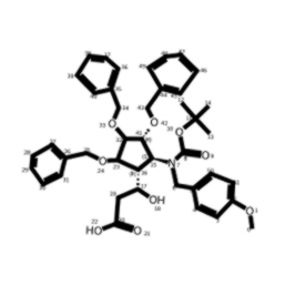 COc1ccc(CN(C(=O)OC(C)(C)C)[C@H]2[C@H](C(O)CC(=O)O)C(OCc3ccccc3)C(OCc3ccccc3)[C@@H]2OCc2ccccc2)cc1